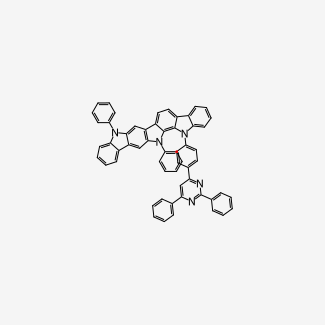 c1ccc(-c2cc(-c3ccc(-n4c5ccccc5c5ccc6c7cc8c(cc7n(-c7ccccc7)c6c54)c4ccccc4n8-c4ccccc4)cc3)nc(-c3ccccc3)n2)cc1